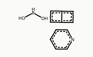 OBO.c1cc2ccc1-2.c1ccncc1